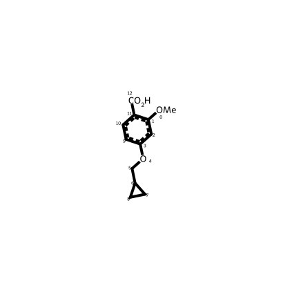 COc1cc(OCC2CC2)ccc1C(=O)O